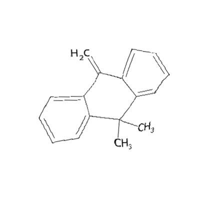 C=C1c2ccccc2C(C)(C)c2ccccc21